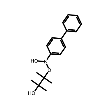 CC(C)(O)C(C)(C)OB(O)c1ccc(-c2ccccc2)cc1